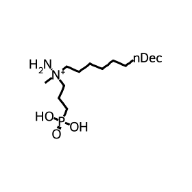 CCCCCCCCCCCCCCCC[N+](C)(N)CCCP(=O)(O)O